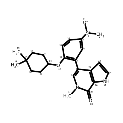 Cn1cc(-c2cc([S+](C)[O-])ccc2OC2CCC(C)(C)CC2)c2cc[nH]c2c1=O